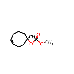 COC(=O)OC1(C)CCC=CCCC1